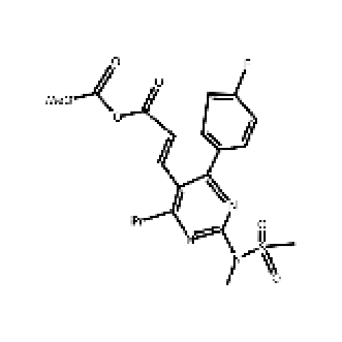 COC(=O)OC(=O)C=Cc1c(-c2ccc(F)cc2)nc(N(C)S(C)(=O)=O)nc1C(C)C